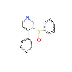 [O-][S+](c1ccccc1)C1CN=CC=C1c1ccccc1